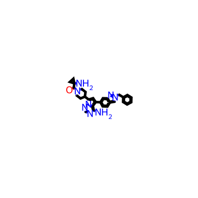 Nc1ncnn2c(C3CCN(C(=O)C4(N)CC4)CC3)cc(-c3ccc4cn(Cc5ccccc5)nc4c3)c12